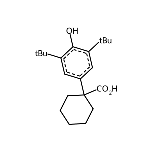 CC(C)(C)c1cc(C2(C(=O)O)CCCCC2)cc(C(C)(C)C)c1O